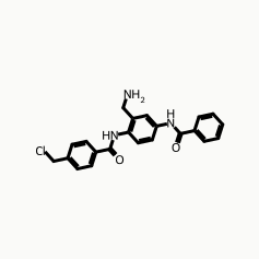 NCc1cc(NC(=O)c2ccccc2)ccc1NC(=O)c1ccc(CCl)cc1